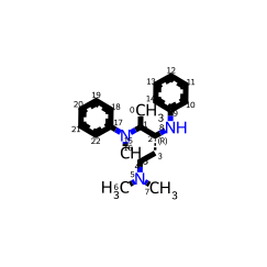 CC([C@@H](CCN(C)C)Nc1ccccc1)N(C)c1ccccc1